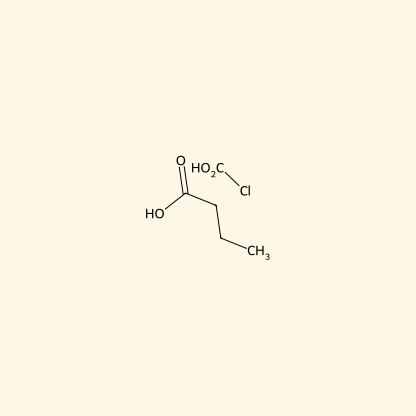 CCCC(=O)O.O=C(O)Cl